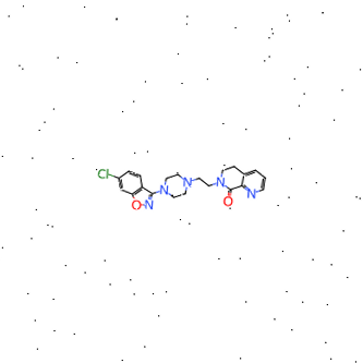 O=C1c2ncccc2CCN1CCN1CCN(c2noc3cc(Cl)ccc23)CC1